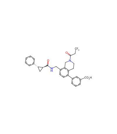 O=C(O)c1cccc(-c2ccc(CNC(=O)[C@H]3C[C@@H]3c3ccccc3)c3c2CCN(C(=O)CC(F)(F)F)C3)c1